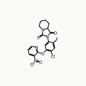 O=C1C2CCCCN2C(=S)N1c1cc(Oc2ncccc2[N+](=O)[O-])c(Cl)cc1F